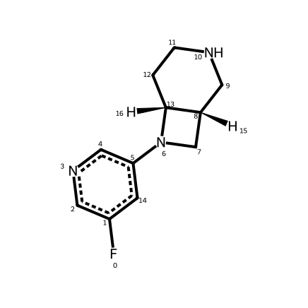 Fc1cncc(N2C[C@H]3CNCC[C@H]32)c1